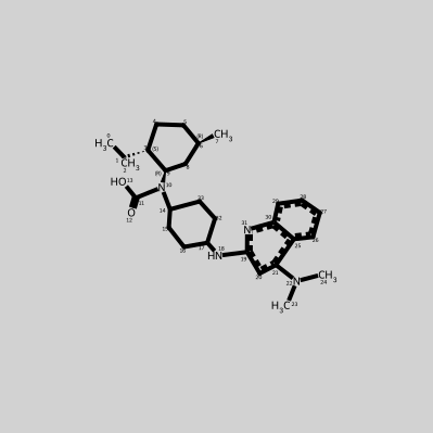 CC(C)[C@@H]1CC[C@@H](C)C[C@H]1N(C(=O)O)C1CCC(Nc2cc(N(C)C)c3ccccc3n2)CC1